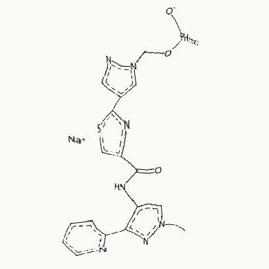 Cn1cc(NC(=O)c2csc(-c3cnn(CO[PH](=O)[O-])c3)n2)c(-c2ccccn2)n1.[Na+]